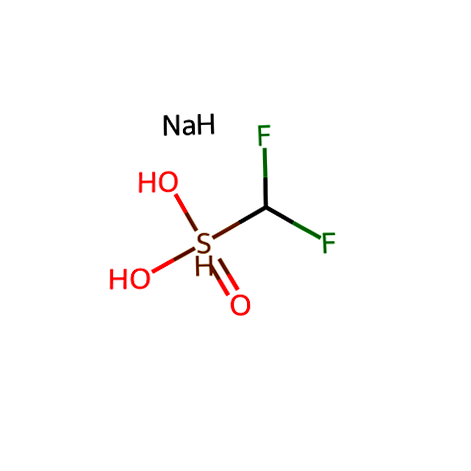 O=[SH](O)(O)C(F)F.[NaH]